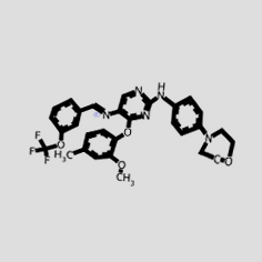 COc1cc(C)ccc1Oc1nc(Nc2ccc(N3CCOCC3)cc2)ncc1/N=C/c1cccc(OC(F)(F)F)c1